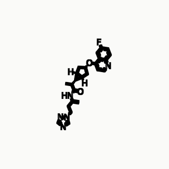 C=C(CCn1cncn1)NC(=O)C(C)[C@H]1[C@@H]2C[C@@H](Oc3ccnc4ccc(F)cc34)C[C@@H]21